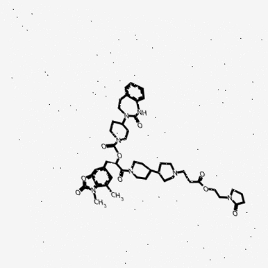 Cc1cc(C[C@@H](OC(=O)N2CCC(N3CCc4ccccc4NC3=O)CC2)C(=O)N2CCC(C3CCN(CCC(=O)OCCN4CCCC4=O)CC3)CC2)cc2oc(=O)n(C)c12